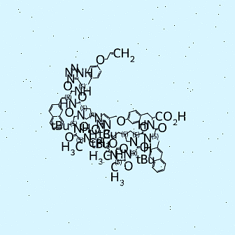 C=CCOc1ccc(C[C@H](NC(=O)[C@H](Cc2ccc3ccccc3c2)NC(=O)[C@@H]2C[C@@H](n3cc(COc4ccc(CC(NC(=O)[C@H](Cc5ccc6ccccc6c5)NC(=O)[C@@H]5C[C@H](CC=C)CN5C(=O)[C@@H](NC(=O)[C@H](C)N(C)C(=O)OC(C)(C)C)C(C)(C)C)C(=O)O)cc4)nn3)CN2C(=O)[C@@H](NC(=O)[C@H](C)N(C)C(=O)OC(C)(C)C)C(C)(C)C)c2nnn[nH]2)cc1